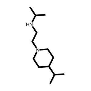 CC(C)NCCN1CCC(C(C)C)CC1